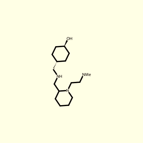 CNCCN1CCCCC1CNC[C@H]1CC[C@H](O)CC1